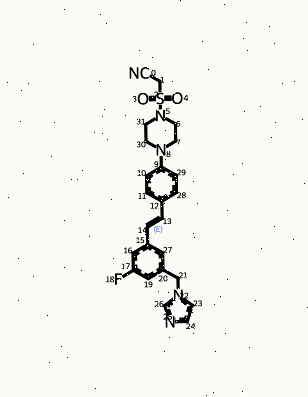 N#CCS(=O)(=O)N1CCN(c2ccc(/C=C/c3cc(F)cc(Cn4ccnc4)c3)cc2)CC1